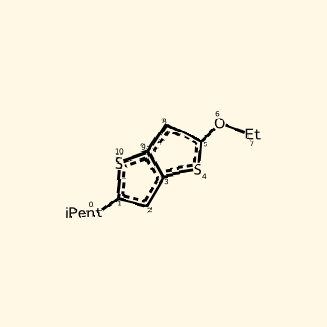 [CH2]CCC(C)c1cc2sc(OCC)cc2s1